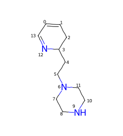 C1=CCC(CCN2CCNCC2)N=C1